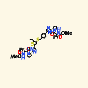 C=Cc1sc(-c2cnc([C@@H]3CCCN3C(=O)[C@@H](NC(=O)OC)C(C)C)[nH]2)cc1SCc1ccc(-c2cnc([C@@H]3C=CCN3C(=O)C(NC(=O)OC)C(C)C)[nH]2)cc1